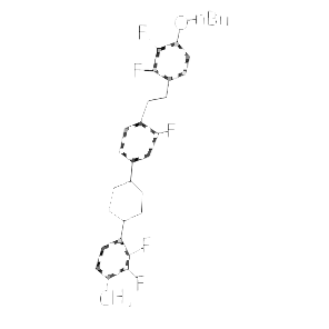 CCCCOc1ccc(CCc2ccc(C3CCC(c4ccc(C)c(F)c4F)CC3)cc2F)c(F)c1F